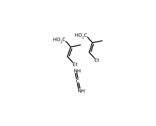 CCC=C(C)C(=O)O.CCC=C(C)C(=O)O.N=C=N